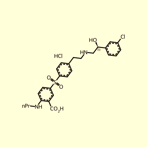 CCCNc1ccc(S(=O)(=O)c2ccc(CCNC[C@@H](O)c3cccc(Cl)c3)cc2)cc1C(=O)O.Cl